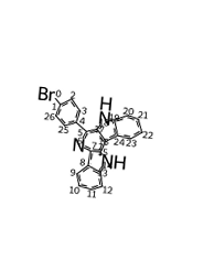 Brc1ccc(-c2nc3c4ccccc4[nH]c3c3c2[nH]c2ccccc23)cc1